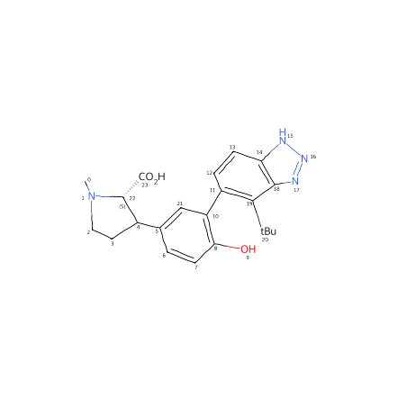 CN1CCC(c2ccc(O)c(-c3ccc4[nH]nnc4c3C(C)(C)C)c2)[C@H]1C(=O)O